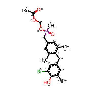 Cc1cc(CP(C)(=O)OCOC(=O)C(C)(C)C)cc(C)c1Cc1cc(Br)c(O)c(C(C)C)c1